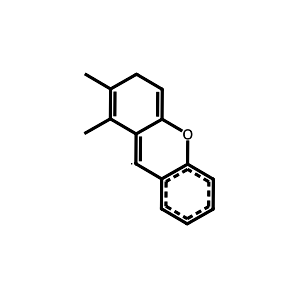 CC1=C(C)C2=[C]c3ccccc3OC2=CC1